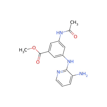 COC(=O)c1cc(NC(C)=O)cc(Nc2ncccc2N)c1